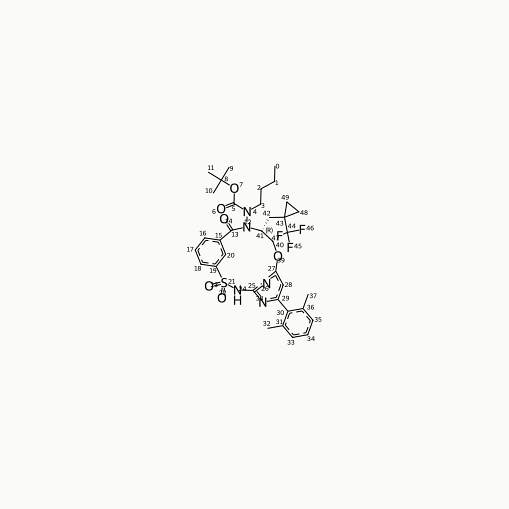 CCCCN(C(=O)OC(C)(C)C)N1C(=O)c2cccc(c2)S(=O)(=O)Nc2nc(cc(-c3c(C)cccc3C)n2)OC[C@H]1CC1(C(F)(F)F)CC1